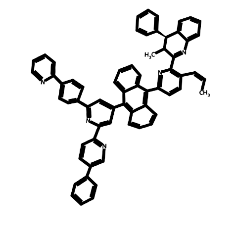 C/C=C\c1ccc(-c2c3ccccc3c(-c3cc(-c4ccc(-c5ccccn5)cc4)nc(-c4ccc(-c5ccccc5)cn4)c3)c3ccccc23)nc1C1=Nc2ccccc2[C@H](c2ccccc2)C1C